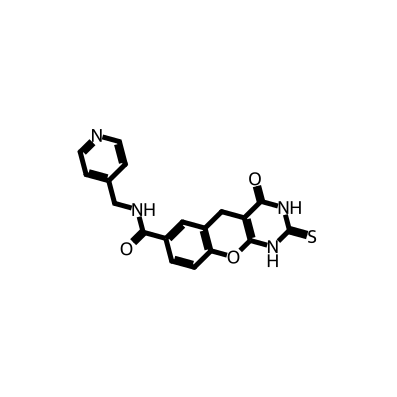 O=C(NCc1ccncc1)c1ccc2c(c1)Cc1c([nH]c(=S)[nH]c1=O)O2